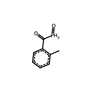 Cc1ccccc1C(=O)[PH2]=O